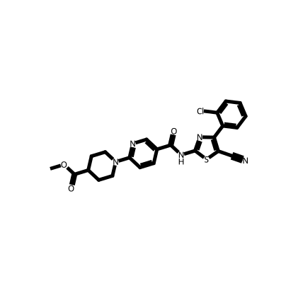 COC(=O)C1CCN(c2ccc(C(=O)Nc3nc(-c4ccccc4Cl)c(C#N)s3)cn2)CC1